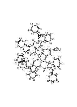 CC(C)(C)c1cc2c3c(c1)-c1c4c(cc5c(c4cc4c1c1ccccc1n4-c1ccccc1)c1ccccc1n5-c1ccccc1)B3c1cc3c(c4cc5c(c-2c14)c1ccccc1n5-c1ccccc1)c1ccccc1n3-c1ccccc1